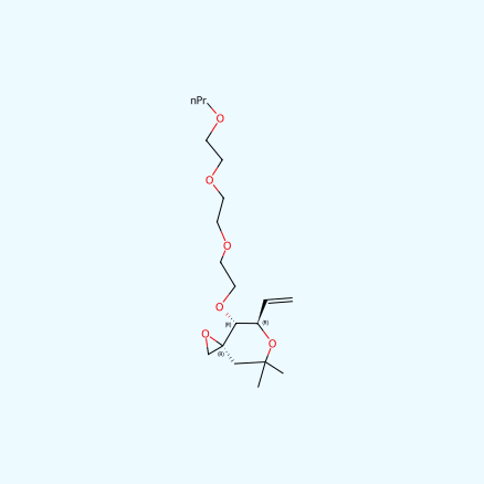 C=C[C@H]1OC(C)(C)C[C@@]2(CO2)[C@@H]1OCCOCCOCCOCCC